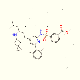 COC(=O)c1cccc(S(=O)(=O)Nc2cc(CCC(CC(C)C)NC3CC4(CC4)C3)cc(-c3c(C)cccc3C)n2)c1